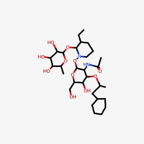 CCC1CCCN(OC2OC(CO)C(O)C(OC(C)CC3CCCCC3)C2NC(C)=O)C1OC1OC(C)C(O)C(O)C1O